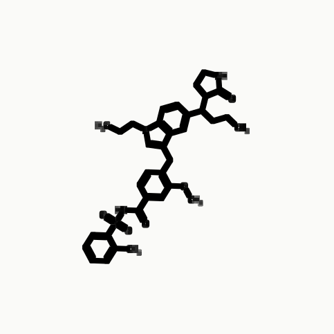 CCCC(c1ccc2c(c1)c(Cc1ccc(C(=O)NS(=O)(=O)c3ccccc3C)cc1OC)cn2CCC)C1CCNC1=O